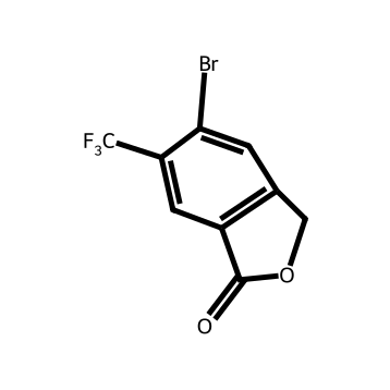 O=C1OCc2cc(Br)c(C(F)(F)F)cc21